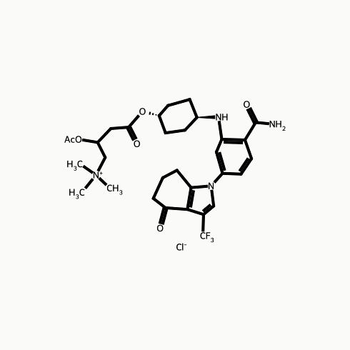 CC(=O)OC(CC(=O)O[C@H]1CC[C@H](Nc2cc(-n3cc(C(F)(F)F)c4c3CCCC4=O)ccc2C(N)=O)CC1)C[N+](C)(C)C.[Cl-]